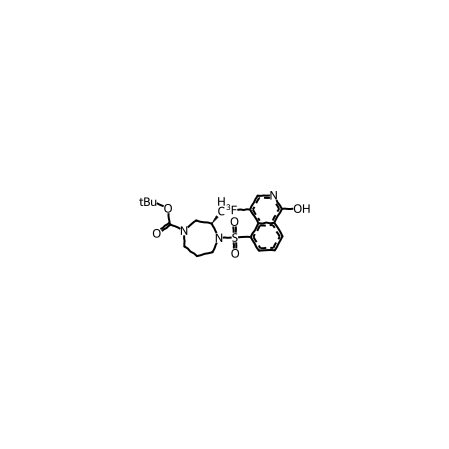 C[C@@H]1CN(C(=O)OC(C)(C)C)CCCN1S(=O)(=O)c1cccc2c(O)ncc(F)c12